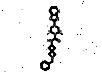 C[C@@H]1CN(c2nc3ncccc3o2)C[C@@H](C)N1C(=O)NC1CC2(C1)CN(Cc1ccccc1)C2